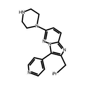 CC(C)Cc1nc2ccc(N3CCNCC3)nn2c1-c1ccncc1